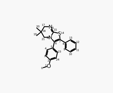 COc1ccc(C2=C(c3ccccc3)SC3=NCC(C)(C)CN32)cc1